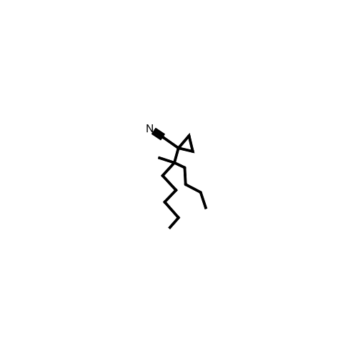 CCCCCC(C)(CCCC)C1(C#N)CC1